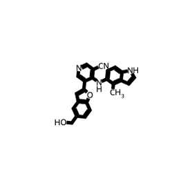 Cc1c(Nc2c(C#N)cncc2-c2cc3cc(CO)ccc3o2)ccc2[nH]ccc12